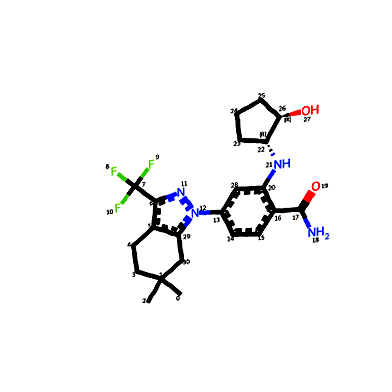 CC1(C)CCc2c(C(F)(F)F)nn(-c3ccc(C(N)=O)c(N[C@@H]4CCC[C@H]4O)c3)c2C1